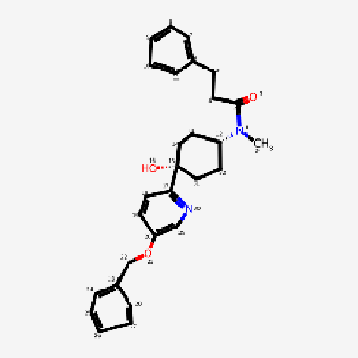 CN(C(=O)CCc1ccccc1)[C@H]1CC[C@](O)(c2ccc(OCc3ccccc3)cn2)CC1